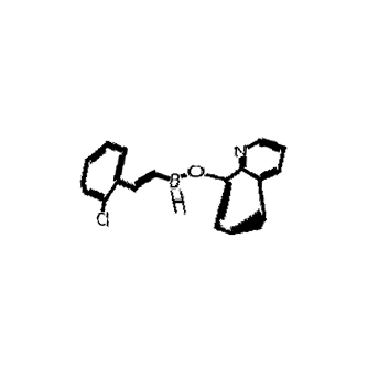 Clc1ccccc1C=CBOc1cccc2cccnc12